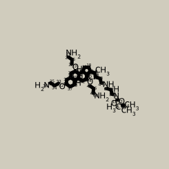 C[C@H](CCCNCCCNC(=O)OC(C)(C)C)C1CC[C@H]2C3[C@H](OCCCN)CC4C[C@H](OCCCN)CC[C@]4(C)[C@H]3C[C@H](OCCCN)[C@]12C